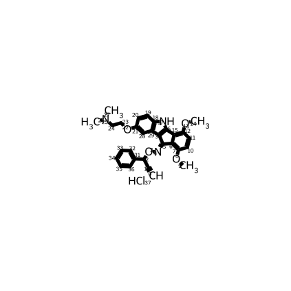 C#CC(O/N=C1/c2c(OC)ccc(OC)c2-c2[nH]c3ccc(OCCN(C)C)cc3c21)c1ccccc1.Cl